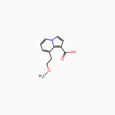 COCCc1cccn2ccc(C(=O)O)c12